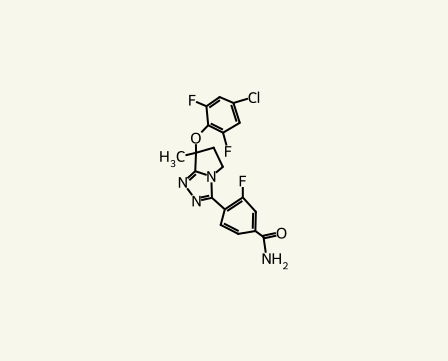 CC1(Oc2c(F)cc(Cl)cc2F)CCn2c(-c3ccc(C(N)=O)cc3F)nnc21